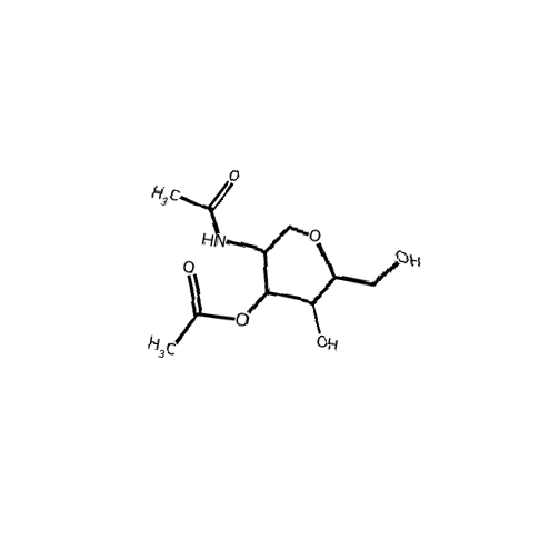 CC(=O)NC1COC(CO)C(O)C1OC(C)=O